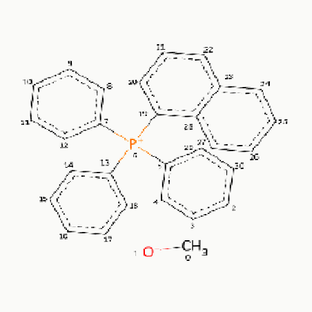 C[O-].c1ccc([P+](c2ccccc2)(c2ccccc2)c2cccc3ccccc23)cc1